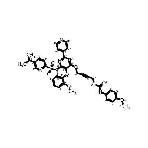 COc1ccc(NC(=O)OCC#CCOc2nc(-c3ccncc3)nc(NS(=O)(=O)c3ccc(C(C)C)cn3)c2Oc2ccccc2OC)cc1